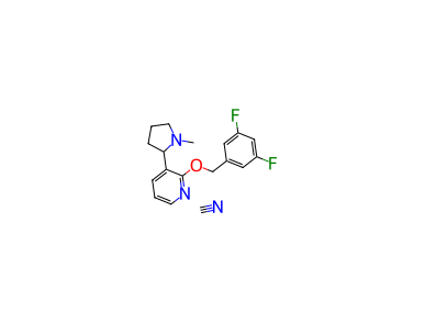 C#N.CN1CCCC1c1cccnc1OCc1cc(F)cc(F)c1